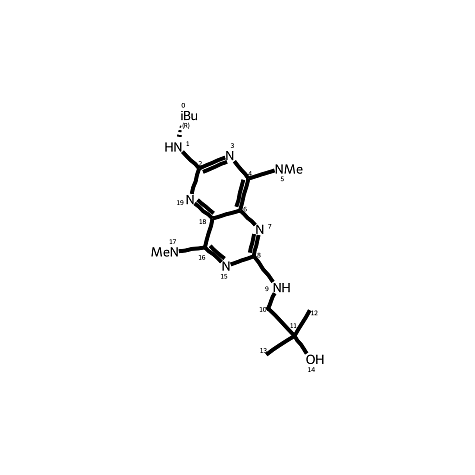 CC[C@@H](C)Nc1nc(NC)c2nc(NCC(C)(C)O)nc(NC)c2n1